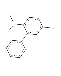 C[SiH](C)c1ccc(Br)cc1-c1ccccc1